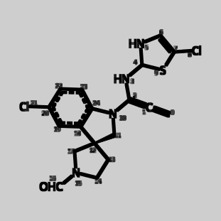 C=C=C(NC1NC=C(Cl)S1)N1C[C@]2(CCN(C=O)C2)c2cc(Cl)ccc21